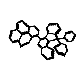 c1ccc(C2(c3ccccc3)c3ccccc3-c3c(-c4ccc5ccc6cccc7ccc4c5c67)cc4ccccc4c32)cc1